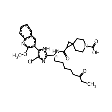 CCC(=O)CCCCC[C@H](NC(=O)C1CC12CCN(C(=O)O)CC2)c1nc(Cl)c(-c2cc3ccccc3nc2OC)[nH]1